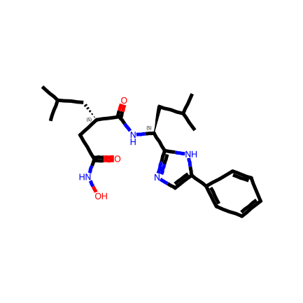 CC(C)C[C@@H](CC(=O)NO)C(=O)N[C@@H](CC(C)C)c1ncc(-c2ccccc2)[nH]1